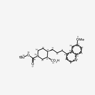 COc1ccc2nccc(CCC[C@@H]3CCN(C(=O)OC(C)(C)C)C[C@@H]3C(=O)O)c2c1